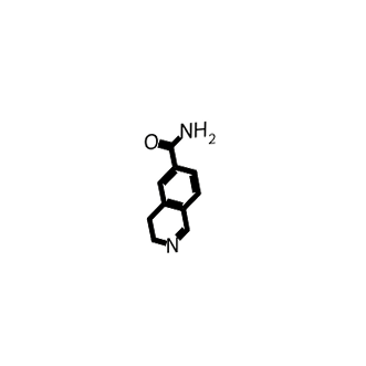 NC(=O)c1ccc2c(c1)CCN=C2